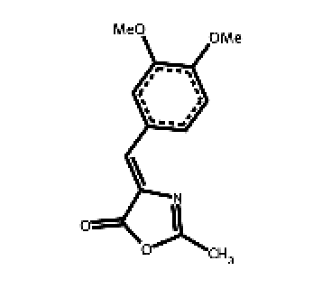 COc1ccc(/C=C2\N=C(C)OC2=O)cc1OC